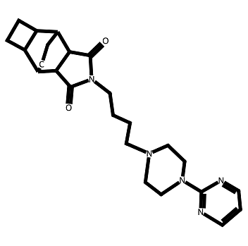 O=C1C2C3CCC(C4CCC43)C2C(=O)N1CCCCN1CCN(c2ncccn2)CC1